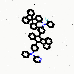 Fc1ccccc1N(c1ccc(-c2c3c(c(-c4ccc(N(c5ccccc5)c5cccnc5)cc4)c4ccccc24)-c2cccc4cccc-3c24)cc1)c1cccc2c1-c1ccccc1C21c2ccccc2-c2ccccc21